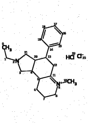 CCN1CC2C3CCC[N+](C)=C3CC(c3ccccc3)C2C1.Cl.[Cl-]